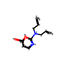 C=CCN(CC=C)c1nccc(=O)o1